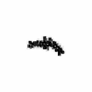 Cc1c(C)c2c(c(C)c1OCCCCC(C)(C)C#N)CCC(C)(COc1ccc(/C=C3/SC(=O)NC3=O)cc1Br)O2